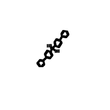 O[Si](O)(c1ccc(-c2ccccc2)cc1)c1ccc(-c2ccccc2)cc1